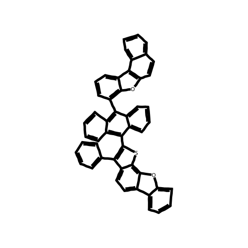 c1ccc(-c2c(-c3c4ccccc4c(-c4cccc5c4oc4ccc6ccccc6c45)c4ccccc34)sc3c2ccc2c4ccccc4oc23)cc1